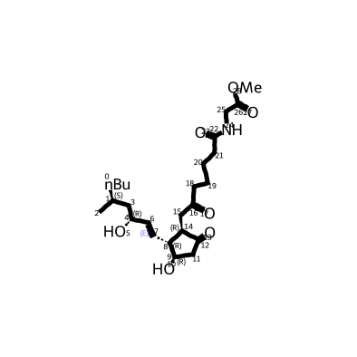 CCCC[C@H](C)C[C@@H](O)/C=C/[C@H]1[C@H](O)CC(=O)[C@@H]1CC(=O)CCCCC(=O)NCC(=O)OC